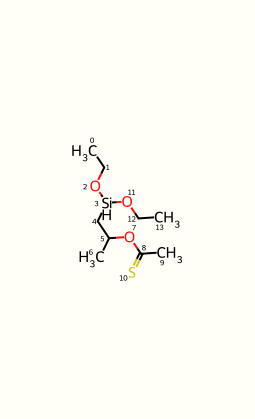 CCO[SiH](CC(C)OC(C)=S)OCC